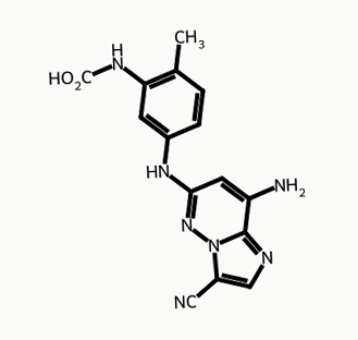 Cc1ccc(Nc2cc(N)c3ncc(C#N)n3n2)cc1NC(=O)O